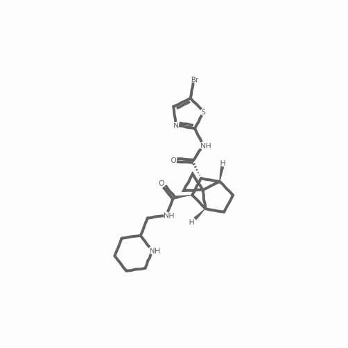 O=C(NCC1CCCCN1)[C@H]1[C@H](C(=O)Nc2ncc(Br)s2)[C@@H]2CC[C@H]1C21CC1